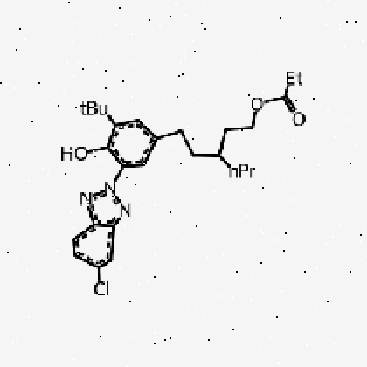 CCCC(CCOC(=O)CC)CCc1cc(-n2nc3ccc(Cl)cc3n2)c(O)c(C(C)(C)C)c1